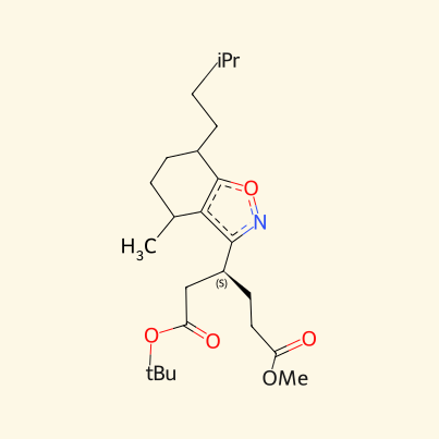 COC(=O)CC[C@@H](CC(=O)OC(C)(C)C)c1noc2c1C(C)CCC2CCC(C)C